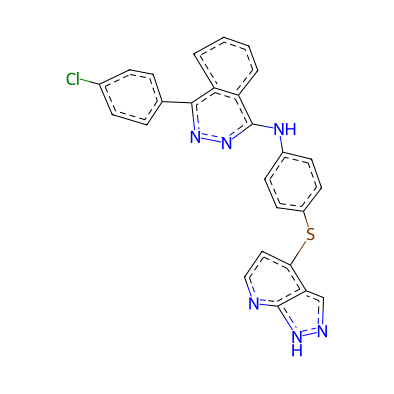 Clc1ccc(-c2nnc(Nc3ccc(Sc4ccnc5[nH]ncc45)cc3)c3ccccc23)cc1